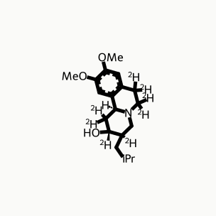 [2H]C1([2H])c2cc(OC)c(OC)cc2[C@H]2N(C[C@]([2H])(CC(C)C)[C@]([2H])(O)C2([2H])[2H])C1([2H])[2H]